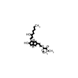 CCCCCC(O)C=C[C@H]1[C@@H]2CC(CCOC(OC)C(=O)OC)C[C@H]2C[C@@H]1O